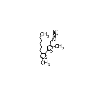 CCCCCCc1cc(C)sc1-c1cc(CN=[N+]=[N-])c(C)s1